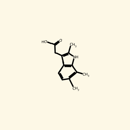 Cc1ccc2c(CC(=O)O)c(C)[nH]c2c1C